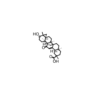 CC12C[C@]13CC[C@]1(C)[C@H](C(=O)C=C4[C@@H]5C[C@@](C)(C(=O)O)CC[C@]5(C)CCC41C)[C@@]3(C)CC[C@@H]2O